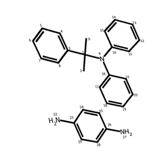 CC(C)(c1ccccc1)N(c1ccccc1)c1ccccc1.Nc1ccc(N)cc1